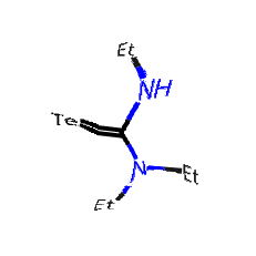 CCNC(=[Te])N(CC)CC